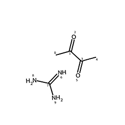 CC(=O)C(C)=O.N=C(N)N